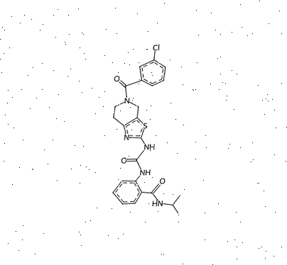 CC(C)NC(=O)c1ccccc1NC(=O)Nc1nc2c(s1)CN(C(=O)c1cccc(Cl)c1)CC2